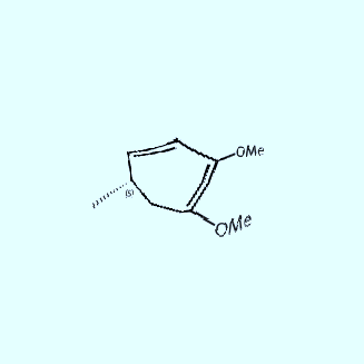 COC1=C(OC)C[C@H](C)C=C1